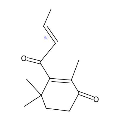 C/C=C/C(=O)C1=C(C)C(=O)CCC1(C)C